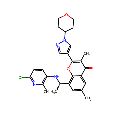 Cc1cc([C@@H](C)Nc2ccc(Cl)nc2C#N)c2oc(-c3cnn(C4CCOCC4)c3)c(C)c(=O)c2c1